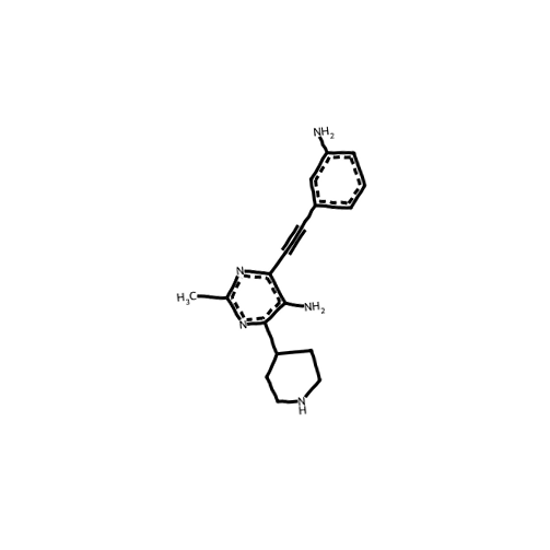 Cc1nc(C#Cc2cccc(N)c2)c(N)c(C2CCNCC2)n1